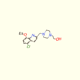 CCOc1ccc(Cl)c2ccc(CN3CCN(CCO)CC3)nc12